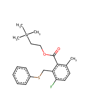 Cc1ccc(F)c(CSc2ccccc2)c1C(=O)OCC[Si](C)(C)C